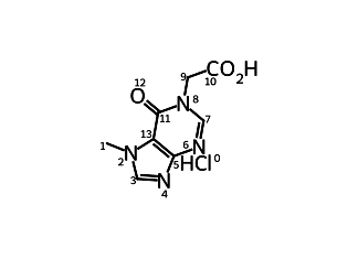 Cl.Cn1cnc2ncn(CC(=O)O)c(=O)c21